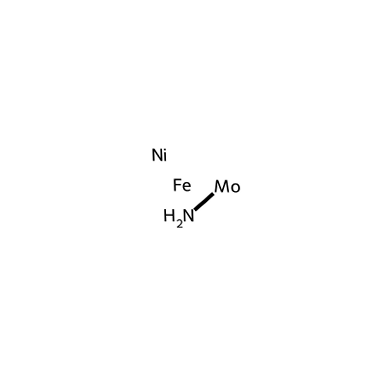 [Fe].[NH2][Mo].[Ni]